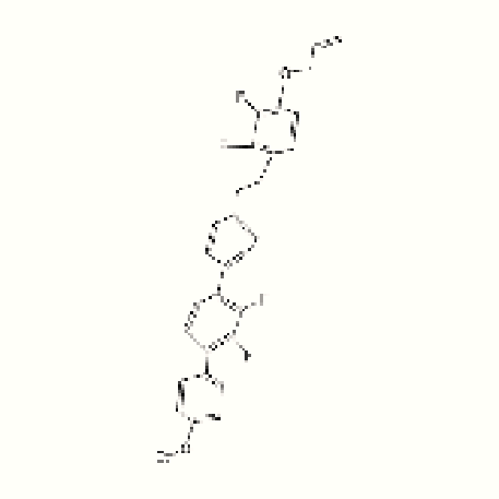 C=CCOc1ccc(CCc2ccc(-c3ccc(-c4ccc(OCC)cc4)c(F)c3F)cc2)c(F)c1F